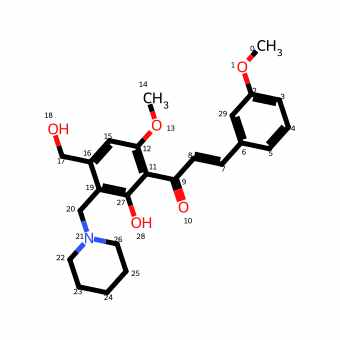 COc1cccc(/C=C/C(=O)c2c(OC)cc(CO)c(CN3CCCCC3)c2O)c1